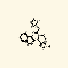 O=C(Cc1nncs1)N1CCc2[nH]cnc2[C@H]1c1cc2ccccc2cn1